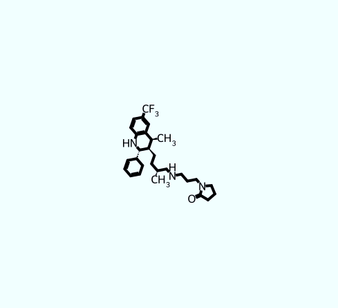 C[C@H](CC[C@@H]1[C@H](C)c2cc(C(F)(F)F)ccc2N[C@H]1C1C=CC=CC1)CNCCCN1CCCC1=O